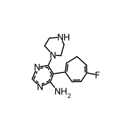 Nc1ncnc(N2CCNCC2)c1C1=CCC=C(F)C=C1